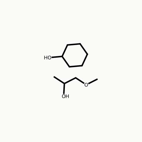 COCC(C)O.OC1CCCCC1